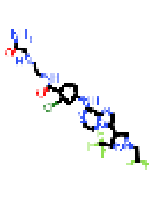 NC(=O)CNCCNC(=O)c1ccc(Nc2nccn3c(-c4cn(CC(F)F)nc4C(F)(F)F)cnc23)cc1Cl